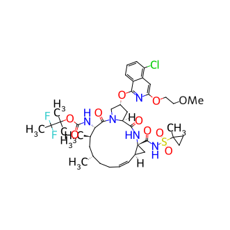 COCCOc1cc2c(Cl)cccc2c(O[C@@H]2C[C@H]3C(=O)N[C@]4(C(=O)NS(=O)(=O)C5(C)CC5)C[C@H]4/C=C\CC[C@H](C)C[C@@H](C)[C@H](NC(=O)OC(C)(C)C(C)(F)F)C(=O)N3C2)n1